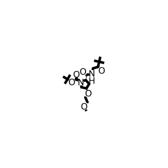 COCCO[C@@H]1C[C@@H](C(=O)NCC(=O)C(C)(C)C)N(C(=O)OC(C)(C)C)C1